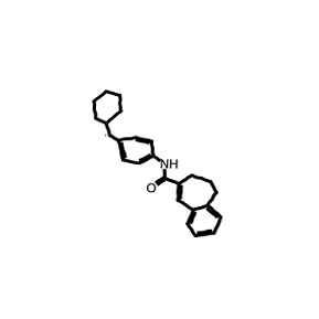 O=C(Nc1ccc([CH]C2CCCCC2)cc1)C1=Cc2ccccc2CCC1